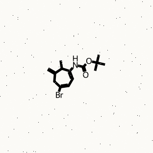 C=C1CC(Br)=CC=C(NC(=O)OC(C)(C)C)C1C